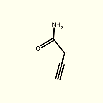 C#C[CH]C(N)=O